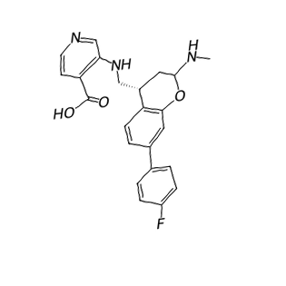 CNC1C[C@@H](CNc2cnccc2C(=O)O)c2ccc(-c3ccc(F)cc3)cc2O1